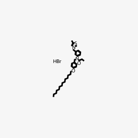 Br.CCCCCCCCCCCCCCOc1ccc(CN(C(=O)CC)c2cccc(CN3C=C(C)SC3)c2)cc1